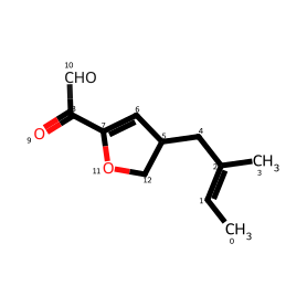 CC=C(C)CC1C=C(C(=O)C=O)OC1